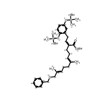 COC(=O)C(=CCc1cc(O[Si](C)(C)C(C)(C)C)ccc1O[Si](C)(C)C(C)(C)C)CC/C=C(\C)CC/C=C(\C)COCc1ccccc1